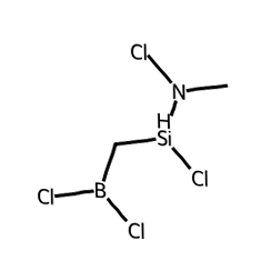 CN(Cl)[SiH](Cl)CB(Cl)Cl